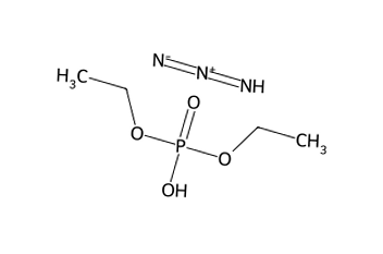 CCOP(=O)(O)OCC.[N-]=[N+]=N